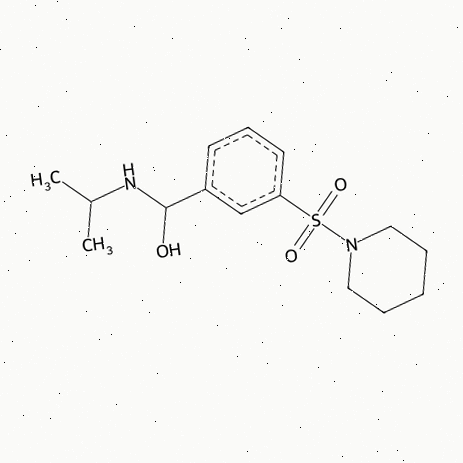 CC(C)NC(O)c1cccc(S(=O)(=O)N2CCCCC2)c1